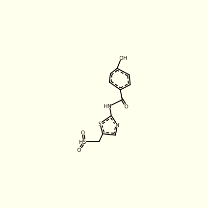 O=C(Nc1ncc(C[SH](=O)=O)s1)c1ccc(O)cc1